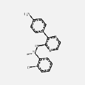 C[C@H](Nc1nccnc1-c1ccc(N)cc1)c1ccccc1Cl